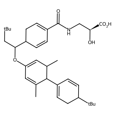 CC1=CC(OC(CC(C)(C)C)C2C=CC(C(=O)NC[C@H](O)C(=O)O)=CC2)=CC(C)C1C1=CCC(C(C)(C)C)C=C1